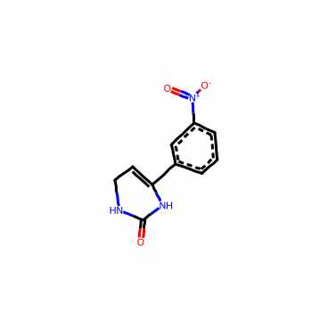 O=C1NCC=C(c2cccc([N+](=O)[O-])c2)N1